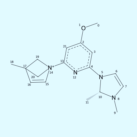 COc1cc(N2C=CN(C)[C@@H]2C)nc([N+]23C=CC(C)(C2)C3)c1